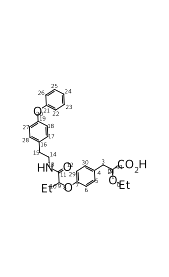 CCO[C@@H](Cc1ccc(OC(CC)C(=O)NCCc2ccc(Oc3ccccc3)cc2)cc1)C(=O)O